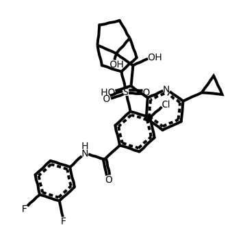 O=C(Nc1ccc(F)c(F)c1)c1ccc(Cl)c(S(=O)(=O)C2CC3CCC(C2)C3(O)C(O)C(O)c2cccc(C3CC3)n2)c1